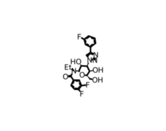 CCN(C(=O)c1ccc(F)c(F)c1)[C@@H]1O[C@H](CO)[C@H](O)[C@H](n2cc(-c3cccc(F)c3)nn2)[C@H]1O